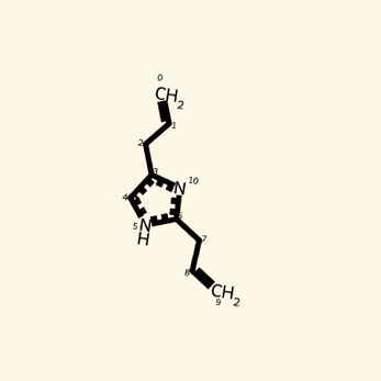 C=CCc1c[nH]c(CC=C)n1